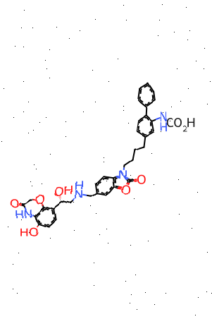 O=C(O)Nc1cc(CCCCn2c(=O)oc3cc(CNC[C@@H](O)c4ccc(O)c5c4OCC(=O)N5)ccc32)ccc1-c1ccccc1